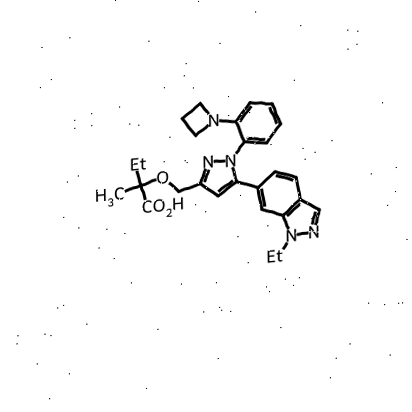 CCn1ncc2ccc(-c3cc(COC(C)(CC)C(=O)O)nn3-c3ccccc3N3CCC3)cc21